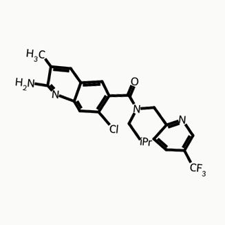 Cc1cc2cc(C(=O)N(Cc3ccc(C(F)(F)F)cn3)CC(C)C)c(Cl)cc2nc1N